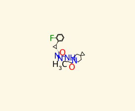 C[C@H](Nc1nnc([C@@H]2C[C@H]2c2ccccc2F)o1)C(=O)N1CCC2(CC1)CC2